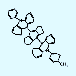 CC1C=CC(N2C3=C(CCC=C3)B(c3c4c(c(B5C6=C(C=CCC6)N(c6ccccc6)c6ccccc65)c5c3CCC5)CCC4)c3ccccc32)=CC1